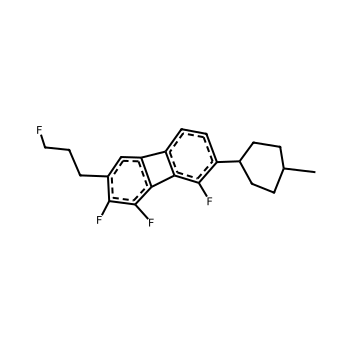 CC1CCC(c2ccc3c(c2F)-c2c-3cc(CCCF)c(F)c2F)CC1